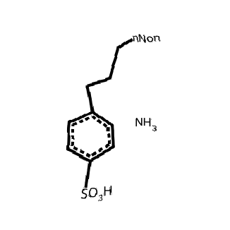 CCCCCCCCCCCCc1ccc(S(=O)(=O)O)cc1.N